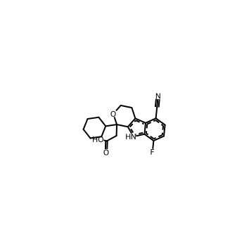 N#Cc1ccc(F)c2[nH]c3c(c12)CCOC3(CC(=O)O)C1CCCCC1